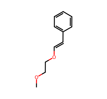 COCCOC=Cc1ccccc1